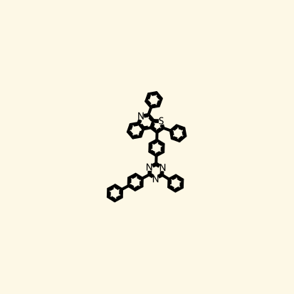 c1ccc(-c2ccc(-c3nc(-c4ccccc4)nc(-c4ccc(-c5c(-c6ccccc6)sc6c(-c7ccccc7)nc7ccccc7c56)cc4)n3)cc2)cc1